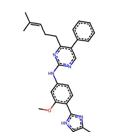 COc1cc(Nc2ncc(-c3ccccc3)c(CCC=C(C)C)n2)ccc1-c1nc(C)c[nH]1